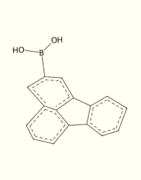 OB(O)c1cc2c3c(cccc3c1)-c1ccccc1-2